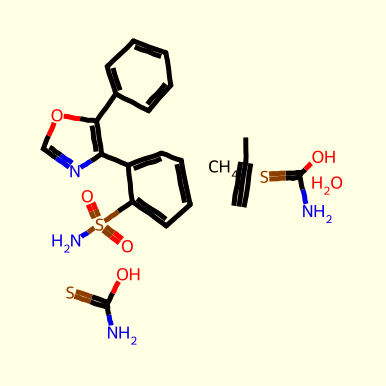 C.C#CC.NC(O)=S.NC(O)=S.NS(=O)(=O)c1ccccc1-c1ncoc1-c1ccccc1.O